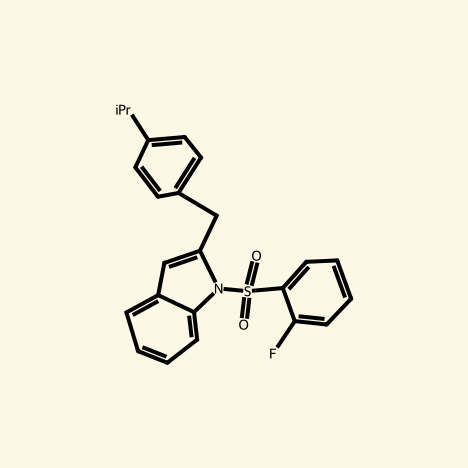 CC(C)c1ccc(Cc2cc3ccccc3n2S(=O)(=O)c2ccccc2F)cc1